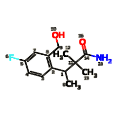 CC(c1ccc(F)cc1CO)C(C)(C)C(N)=O